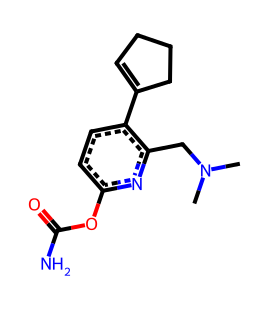 CN(C)Cc1nc(OC(N)=O)ccc1C1=CCCC1